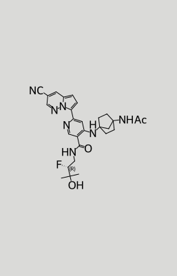 CC(=O)NC12CCC(Nc3cc(-c4ccc5cc(C#N)cnn45)ncc3C(=O)NC[C@@H](F)C(C)(C)O)(CC1)C2